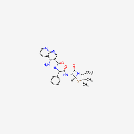 CC1(C)S[C@@H]2[C@H](NC(=O)C(NC(=O)c3cnc4ncccc4c3N)c3ccccc3)C(=O)N2[C@H]1C(=O)O